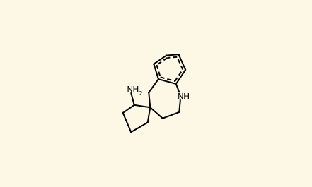 NC1CCCC12CCNc1ccccc1C2